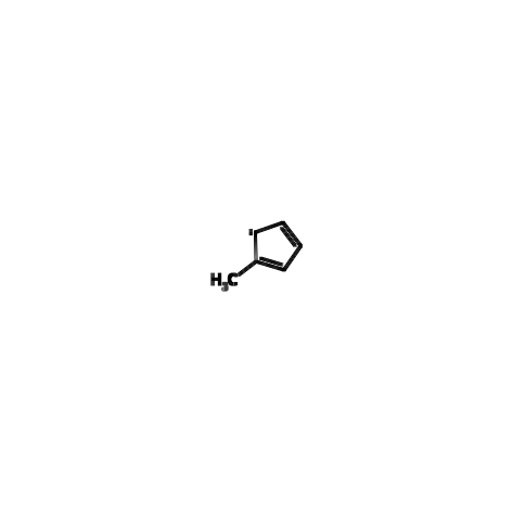 CC1=CC=C[C]1